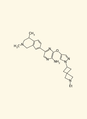 CCN1CC2(CC(n3cc(Oc4nc(-c5ccc6c(c5)CN(C)CC6C)cnc4N)cn3)C2)C1